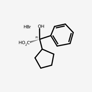 Br.O=C(O)[C@](O)(c1ccccc1)C1CCCC1